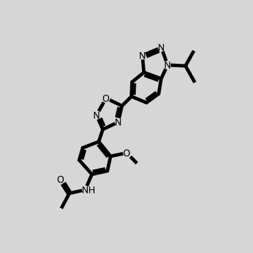 COc1cc(NC(C)=O)ccc1-c1noc(-c2ccc3c(c2)nnn3C(C)C)n1